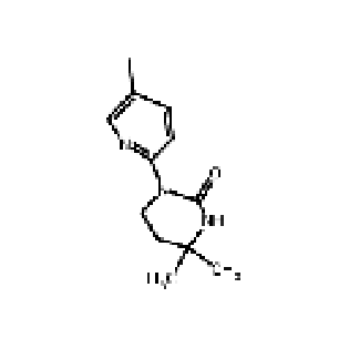 CC1(C)CCN(c2ccc(I)cn2)C(=O)N1